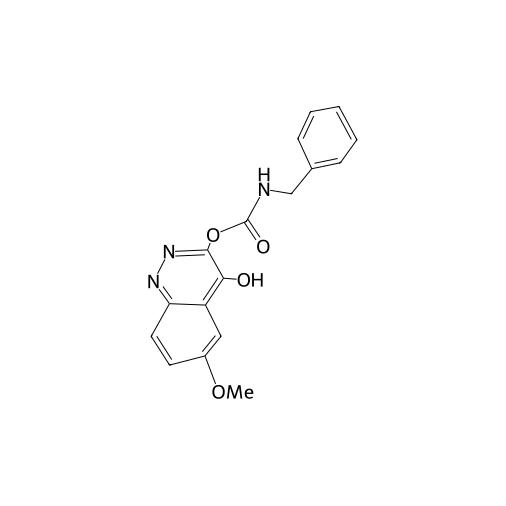 COc1ccc2nnc(OC(=O)NCc3ccccc3)c(O)c2c1